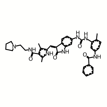 Cc1ccc(NC(=O)c2ccccc2)cc1NC(=O)Nc1ccc2c(c1)NC(=O)/C2=C\c1[nH]c(C)c(C(=O)NCCN2CCCC2)c1C